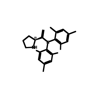 C=C([C@@H]1CCCN1)N(c1c(C)cc(C)cc1C)c1c(C)cc(C)cc1C